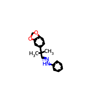 CC(C)(/C=N/Nc1ccccc1)c1ccc2c(c1)OCO2